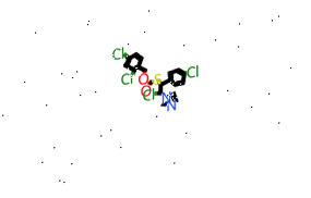 O=C(OCc1ccc(Cl)cc1Cl)SC(c1ccc(Cl)cc1)C(Cl)n1ccnc1